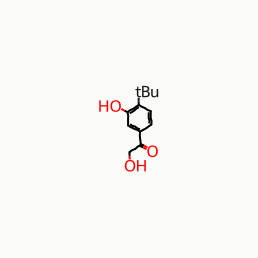 CC(C)(C)c1ccc(C(=O)CO)cc1O